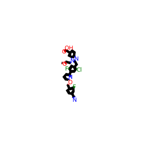 COCCn1c(Cc2cc(F)c(-c3cccc(OCc4ccc(C#N)cc4F)n3)cc2Cl)nc2ccc(C(=O)O)cc21